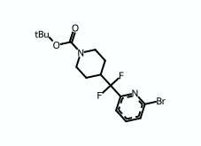 CC(C)(C)OC(=O)N1CCC(C(F)(F)c2cccc(Br)n2)CC1